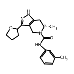 Cc1cccc(NC(=O)N2Cc3c(C4CCCO4)n[nH]c3C[C@@H]2C)c1